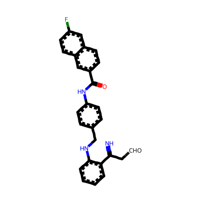 N=C(CC=O)c1ccccc1NCc1ccc(NC(=O)c2ccc3cc(F)ccc3c2)cc1